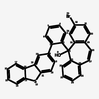 OC1(c2ccccc2-c2ccc3sc4ccccc4c3c2)c2ccccc2C=Cc2ccc(Br)cc21